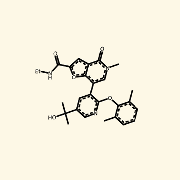 CCNC(=O)c1cc2c(=O)n(C)cc(-c3cc(C(C)(C)O)cnc3Oc3c(C)cccc3C)c2o1